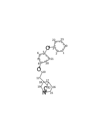 c1ccc(Oc2ccc(OCCC3CN4CCC3CC4)cc2)cc1